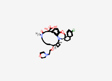 CN1CC/C=C/[C@H](OCCN2CCOCC2)[C@@H]2CC[C@H]2CN2C[C@@]3(CCCc4cc(Cl)ccc43)COc3ccc(cc32)[C@@](O)(C(=O)O)CC1=O